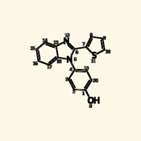 Oc1ccc(-n2c(-c3cccs3)nc3ccccc32)cc1